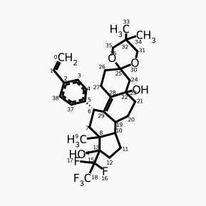 C=Cc1ccc([C@H]2CC3(C)C(CCC3(O)C(F)(F)C(F)(F)F)C3CCC4(O)CC5(CCC4=C32)OCC(C)(C)CO5)cc1